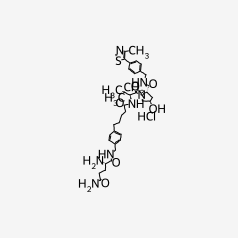 Cc1ncsc1-c1ccc(CNC(=O)[C@@H]2C[C@@H](O)CN2C(=O)[C@@H](NC(=O)CCCCc2ccc(CNC(=O)[C@@H](N)CCC(N)=O)cc2)C(C)(C)C)cc1.Cl